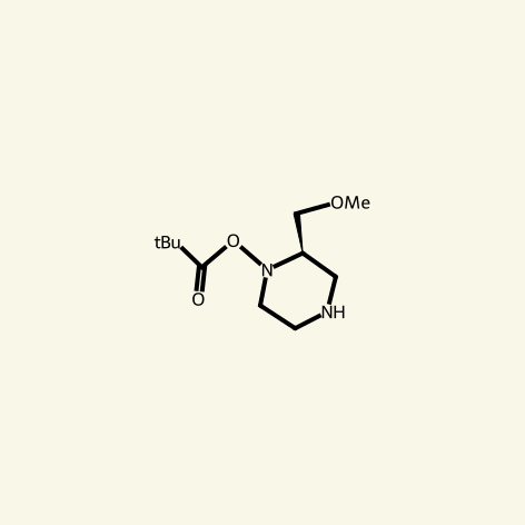 COC[C@H]1CNCCN1OC(=O)C(C)(C)C